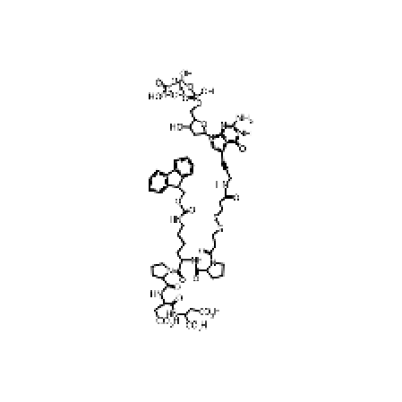 Nc1nc2c(c(C#CCNC(=O)CCSSCCC(=O)N3CCCC3C(=O)NC(CCCCNC(=O)OCC3c4ccccc4-c4ccccc43)C(=O)N3CCCC3C(=O)NC(CC(=O)O)C(=O)NC(CC(=O)O)C(=O)O)cn2C2CC(O)C(COP(=O)(O)OP(=O)(O)OP(=O)(O)O)O2)c(=O)[nH]1